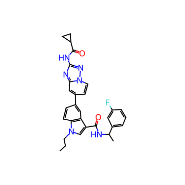 CCCn1cc(C(=O)NC(C)c2cccc(F)c2)c2cc(-c3ccn4nc(NC(=O)C5CC5)nc4c3)ccc21